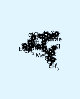 CC#Cc1ccccc1N(C)C(=O)c1cc2ccc3c4cc(Cl)ccc4[nH]c3c2c(N=Nc2ccc(N(c3ccc(N=Nc4c(OC)c(C(=O)N(C)c5ccccc5CC)cc5ccc6c7cc(Cl)ccc7[nH]c6c45)cc3)c3ccc(N=Nc4c(OC)c(C(=O)N(C)c5ccccc5CC)cc5ccc6c7cc(Cl)ccc7[nH]c6c45)cc3)cc2)c1OC